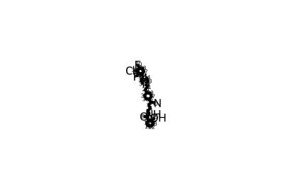 N#CC(CCCNC(=O)c1ccccc1O)C1CCC(CCN2CCN(c3ccc(F)c(Cl)c3F)CC2)CC1